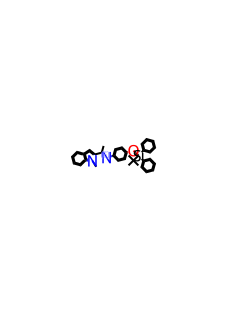 C/C(=N\c1ccc(O[Si](c2ccccc2)(c2ccccc2)C(C)(C)C)cc1)c1cc2ccccc2n1C